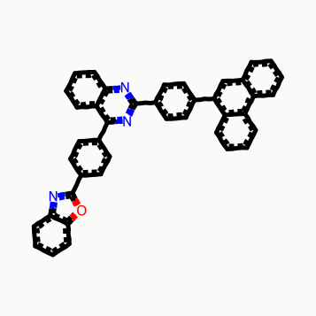 c1ccc2c(c1)cc(-c1ccc(-c3nc(-c4ccc(-c5nc6ccccc6o5)cc4)c4ccccc4n3)cc1)c1ccccc12